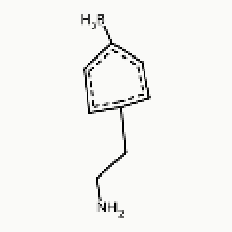 Bc1ccc(CCN)cc1